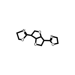 C1COC(C2COC3C(C4=NCCO4)COC23)=N1